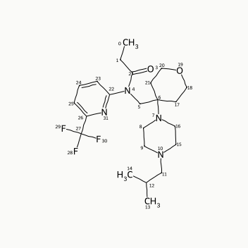 CCC(=O)N(CC1(N2CCN(CC(C)C)CC2)CCOCC1)c1cccc(C(F)(F)F)n1